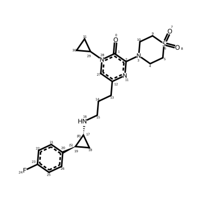 O=c1c(N2CCS(=O)(=O)CC2)nc(CCCN[C@@H]2C[C@H]2c2ccc(F)cc2)cn1C1CC1